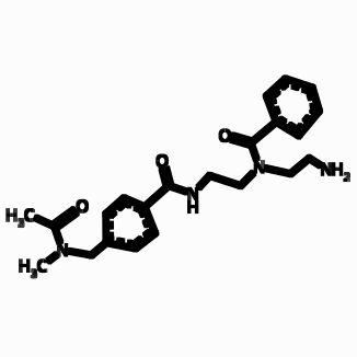 CC(=O)N(C)Cc1ccc(C(=O)NCCN(CCN)C(=O)c2ccccc2)cc1